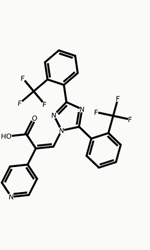 O=C(O)C(=Cn1nc(-c2ccccc2C(F)(F)F)nc1-c1ccccc1C(F)(F)F)c1ccncc1